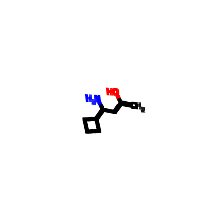 C=C(O)CC(N)C1CCC1